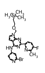 Cc1nc(-c2nc(Nc3ccnc(Br)c3)c3ccn(COCC[Si](C)(C)C)c3n2)ccc1F